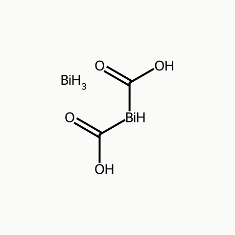 O=[C](O)[BiH][C](=O)O.[BiH3]